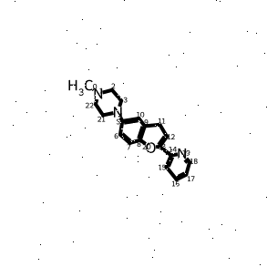 CN1CCN(c2ccc3c(c2)CC=C(c2ccccn2)O3)CC1